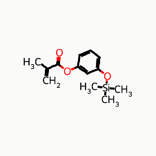 C=C(C)C(=O)Oc1cccc(O[Si](C)(C)C)c1